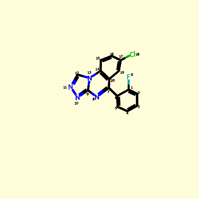 Fc1ccccc1-c1nc2nncn2c2ccc(Cl)cc12